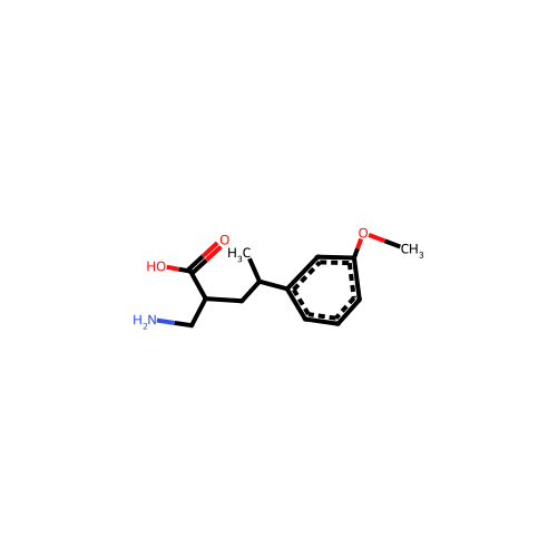 COc1cccc(C(C)CC(CN)C(=O)O)c1